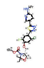 CC(C)Nc1ccc(-c2nnc(-c3cc(F)c(OC[C@@H]4[C@H](C)OC(C)(C)N4C(=O)OC(C)(C)C)cc3Cl)s2)cn1